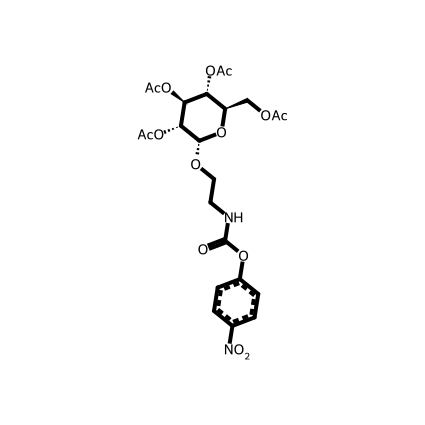 CC(=O)OC[C@H]1O[C@H](OCCNC(=O)Oc2ccc([N+](=O)[O-])cc2)[C@H](OC(C)=O)[C@@H](OC(C)=O)[C@@H]1OC(C)=O